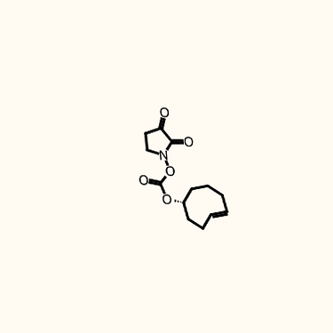 O=C(O[C@H]1CC/C=C/CCC1)ON1CCC(=O)C1=O